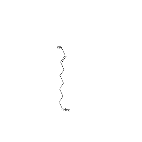 [CH2]CCCCCCCCCCC/C=C/CCC